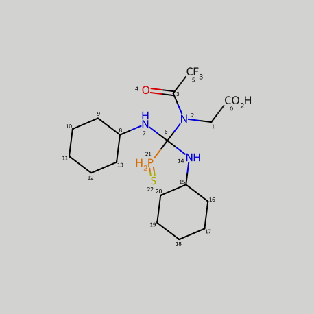 O=C(O)CN(C(=O)C(F)(F)F)C(NC1CCCCC1)(NC1CCCCC1)[PH2]=S